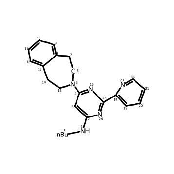 CCCCNc1cc(N2CCc3ccccc3CC2)nc(-c2ccccn2)n1